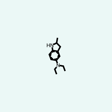 CCN(CC)c1ccc2c(c1)CC(C)N2